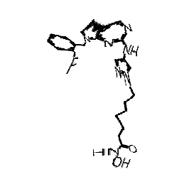 O=C(CCCCCCn1cc(Nc2ncc3ccn(Cc4ccccc4F)c3n2)cn1)NO